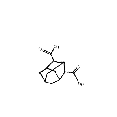 O=C(O)C1C2CC3CC(C2)C(C(=O)O)C1C3